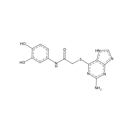 Nc1nc(SCC(=O)Nc2ccc(O)c(O)c2)c2[nH]cnc2n1